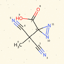 CC(C#N)(C#N)C1(C(=O)O)N=N1